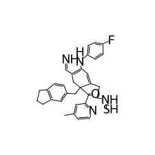 Cc1ccnc(C(=O)C2(Cc3ccc4c(c3)CCC4)CC(C=N)=C(Nc3ccc(F)cc3)C=C2CCNS)c1